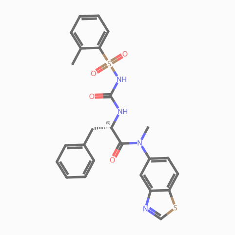 Cc1ccccc1S(=O)(=O)NC(=O)N[C@@H](Cc1ccccc1)C(=O)N(C)c1ccc2scnc2c1